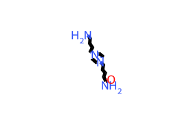 NCCCCN1CCN(CCCCC(N)=O)CC1